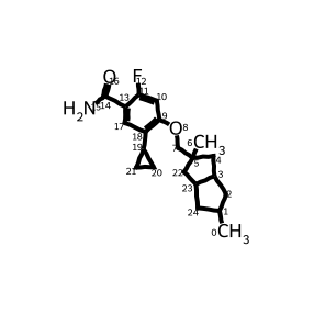 CC1CC2CC(C)(COc3cc(F)c(C(N)=O)cc3C3CC3)CC2C1